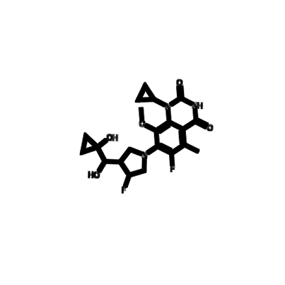 COc1c(N2CC(F)C(C(O)C3(O)CC3)C2)c(F)c(C)c2c(=O)[nH]c(=O)n(C3CC3)c12